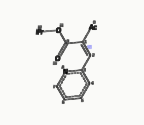 CC(=O)/C(=C/c1ccccn1)C(=O)OC(C)C